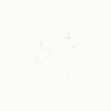 Fc1cc(F)c(F)c(C(F)C2CNC2)c1.O=C(O)C(=O)O